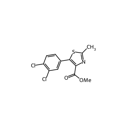 COC(=O)c1nc(C)sc1-c1ccc(Cl)c(Cl)c1